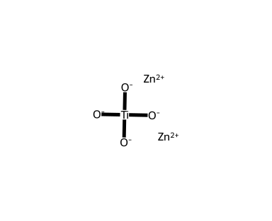 [O-][Ti]([O-])([O-])[O-].[Zn+2].[Zn+2]